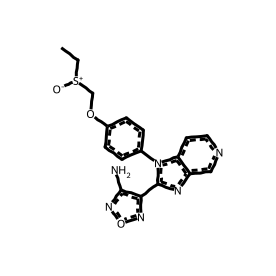 CC[S+]([O-])COc1ccc(-n2c(-c3nonc3N)nc3cnccc32)cc1